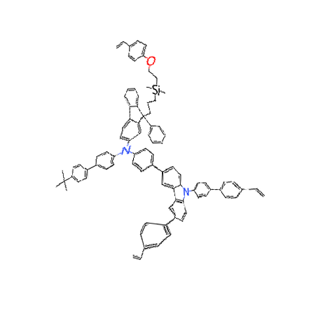 C=Cc1ccc(OCC[Si](C)(C)CCCC2(c3ccccc3)c3ccccc3-c3ccc(N(c4ccc(-c5ccc(C(C)(C)C)cc5)cc4)c4ccc(-c5ccc6c(c5)c5cc(-c7ccc(C=C)cc7)ccc5n6-c5ccc(-c6ccc(C=C)cc6)cc5)cc4)cc32)cc1